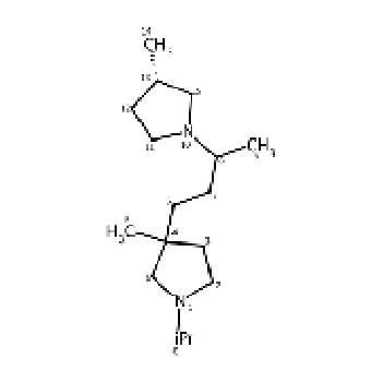 CC(C)N1CCC(C)(CCC(C)N2CC[C@H](C)C2)C1